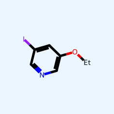 CCOc1cncc(I)c1